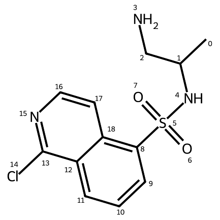 CC(CN)NS(=O)(=O)c1cccc2c(Cl)nccc12